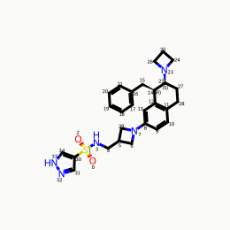 O=S(=O)(NCC1CN(c2ccc3c(c2)[C@@H](Cc2ccccc2)[C@@H](N2CCC2)CC3)C1)c1cn[nH]c1